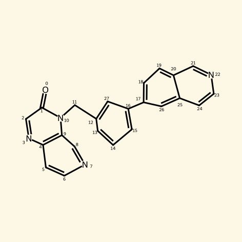 O=c1cnc2ccncc2n1Cc1cccc(-c2ccc3cnccc3c2)c1